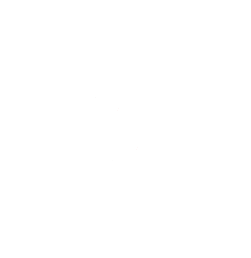 CC1B2CCC3(C)CB3C21